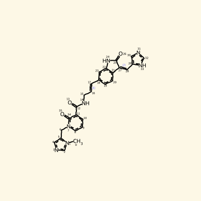 Cn1cncc1Cn1cccc(C(=O)NC/C=C/c2ccc3c(c2)NC(=O)/C3=C\c2cnc[nH]2)c1=O